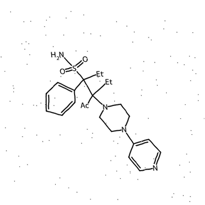 CCC(C(C)=O)(N1CCN(c2ccncc2)CC1)C(CC)(c1ccccc1)S(N)(=O)=O